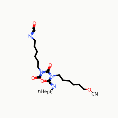 CCCCCCC/N=c1\oc(=O)n(CCCCCCN=C=O)c(=O)n1CCCCCCOC#N